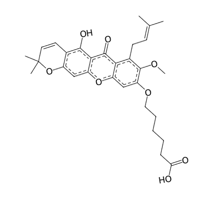 COc1c(OCCCCCC(=O)O)cc2oc3cc4c(c(O)c3c(=O)c2c1CC=C(C)C)C=CC(C)(C)O4